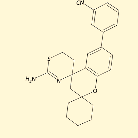 [C-]#[N+]c1cccc(-c2ccc3c(c2)C2(CCSC(N)=N2)CC2(CCCCC2)O3)c1